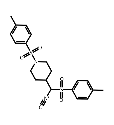 [C-]#[N+]C(C1CCN(S(=O)(=O)c2ccc(C)cc2)CC1)S(=O)(=O)c1ccc(C)cc1